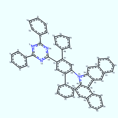 c1ccc(-c2nc(-c3ccccc3)nc(-c3cc(-c4ccccc4)c(-n4c5cc6ccccc6cc5c5c6ccccc6ccc54)cc3-c3ccccc3)n2)cc1